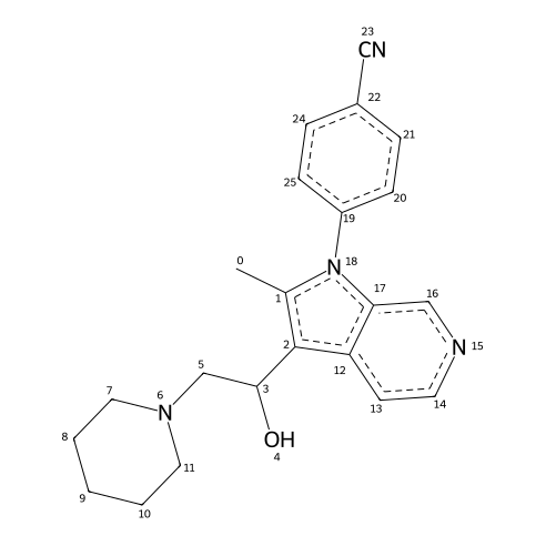 Cc1c(C(O)CN2CCCCC2)c2ccncc2n1-c1ccc(C#N)cc1